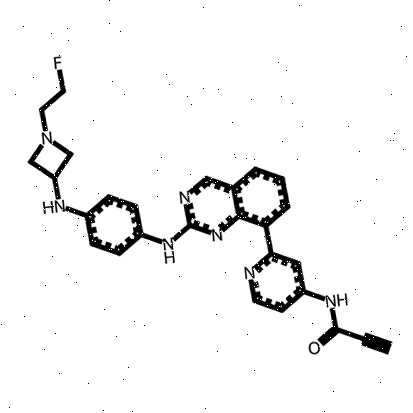 C#CC(=O)Nc1ccnc(-c2cccc3cnc(Nc4ccc(NC5CN(CCF)C5)cc4)nc23)c1